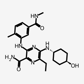 CCc1nc(C(N)=O)c(Nc2cc(C(=O)NC)ccc2C)nc1N[C@H]1CC[C@H](O)CC1